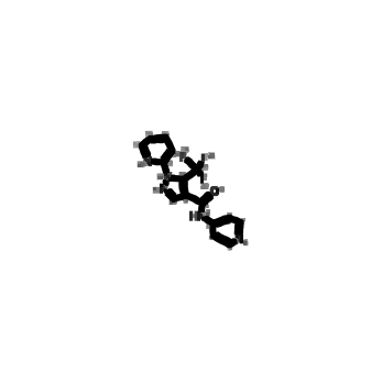 O=C(Nc1ccncc1)c1cnn(-c2ccccn2)c1C(F)(F)F